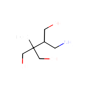 NCC(CO)C(CO)(CO)S(=O)(=O)O